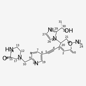 C=C/C=C(/C#Cc1ccc(CN2CCNC(=O)C2)nc1)C(CON=C)n1ccnc1[C@H](C)O